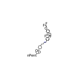 CCCCCC1COC(C2CCC(CC/C=C/c3ccc(C(F)(F)Oc4ccc(OC=C(F)F)cc4)c(F)c3)CC2)OC1